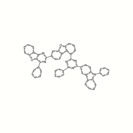 c1ccc(-c2nc(-c3ccc4c(c3)c3ccccc3n4-c3ccccc3)nc(-c3cccc4oc5cc(-c6nc(-c7ccccc7)c7oc8ccccc8c7n6)ccc5c34)n2)cc1